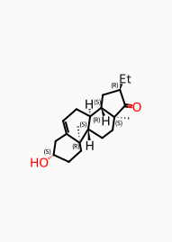 CC[C@@H]1C[C@H]2[C@@H]3CC=C4C[C@@H](O)CC[C@]4(C)[C@H]3CC[C@]2(C)C1=O